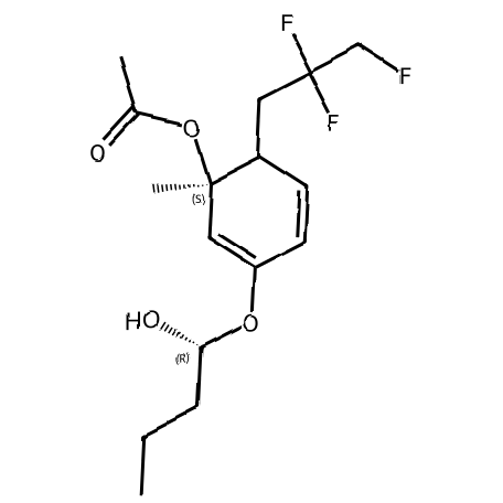 CCC[C@H](O)OC1=C[C@@](C)(OC(C)=O)C(CC(F)(F)CF)C=C1